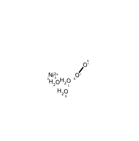 O.O.O.[Ni+2].[O-][O-]